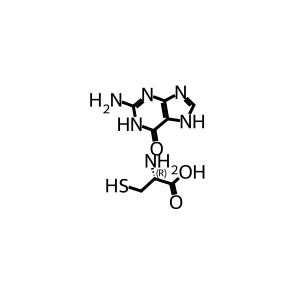 N[C@@H](CS)C(=O)O.Nc1nc2nc[nH]c2c(=O)[nH]1